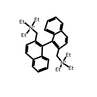 CC[N+](CC)(CC)Cc1ccc2ccccc2c1-c1c(C[N+](CC)(CC)CC)ccc2ccccc12